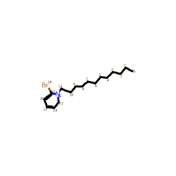 CCCCCCCCCCCCN1CC=CC=C1Br